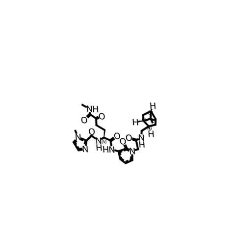 CNC(=O)C(=O)CC[C@H](NC(=O)c1nccn1C)C(=O)Nc1cccn(CC(=O)NC[C@@H]2CC[C@H]3C[C@@H]2C3(C)C)c1=O